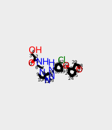 O=C(CCO)NCCn1ccc2ncnc(Nc3ccc(Oc4cccc5occc45)c(Cl)c3)c21